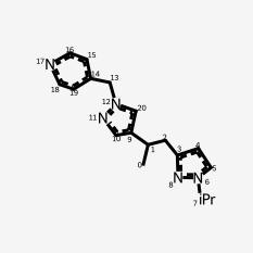 CC(Cc1ccn(C(C)C)n1)c1cnn(Cc2ccncc2)c1